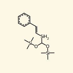 C[Si](C)(C)OC(O[Si](C)(C)C)[SiH2]C=Cc1ccccc1